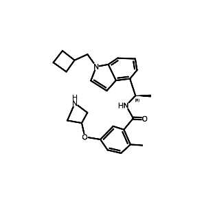 Cc1ccc(OC2CNC2)cc1C(=O)N[C@H](C)c1cccc2c1ccn2CC1CCC1